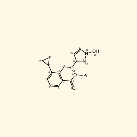 CC(C)OC(=O)c1cccc(C2CC2)c1COc1ccn(O)n1